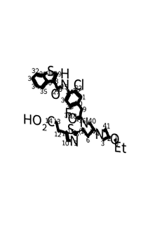 CCOC1CN([C@H]2C[C@@H](c3ncc(CCC(=O)O)s3)N(C(=O)Cc3cc(Cl)c(NC(=O)c4csc5ccccc45)cc3F)C2)C1